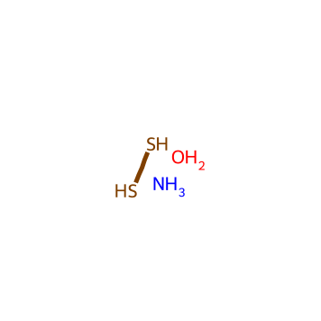 N.O.SS